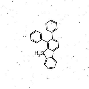 c1ccc(-c2ccc3c(c2-c2ccccc2)[SiH2]c2ccccc2-3)cc1